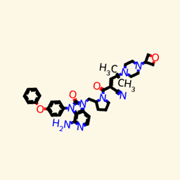 CC(C)(C=C(C#N)C(=O)N1CCCC1Cn1c(=O)n(-c2ccc(Oc3ccccc3)cc2)c2c(N)nccc21)N1CCN(C2COC2)CC1